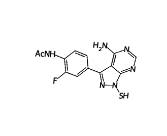 CC(=O)Nc1ccc(-c2nn(S)c3ncnc(N)c23)cc1F